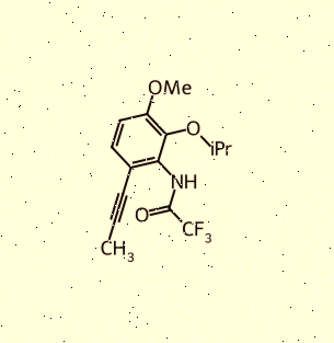 CC#Cc1ccc(OC)c(OC(C)C)c1NC(=O)C(F)(F)F